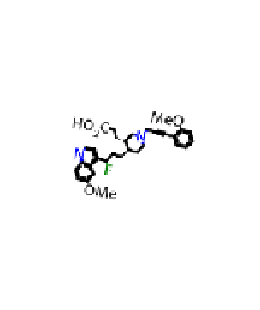 COc1ccc2nccc([C@H](F)CC[C@@H]3CCN(CC#Cc4ccccc4OC)C[C@H]3CCC(=O)O)c2c1